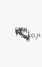 COc1ccc(F)c(-c2ccc(COc3ccc(C4(OCC(=O)O)COC4)cc3)cc2C2=CCCC2(C)C)c1